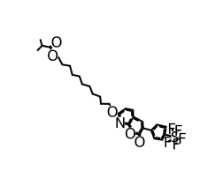 CC(C)C(=O)OCCCCCCCCCCCOc1ccc2cc(-c3ccc(S(F)(F)(F)(F)F)cc3)c(=O)oc2n1